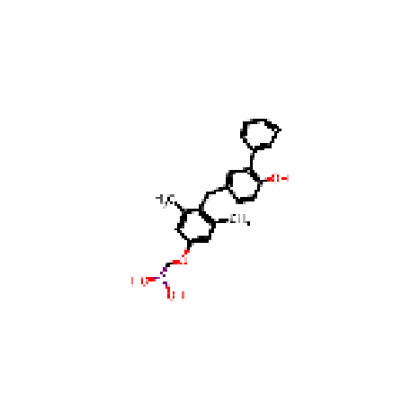 Cc1cc(OCP(O)O)cc(C)c1Cc1ccc(O)c(-c2ccccc2)c1